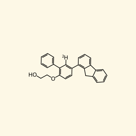 [2H]c1c(-c2cccc3c2Cc2ccccc2-3)ccc(OCCO)c1-c1ccccc1